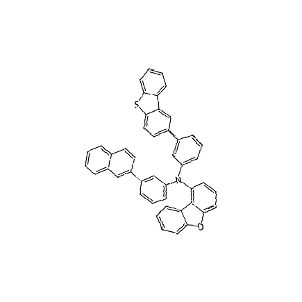 c1cc(-c2ccc3ccccc3c2)cc(N(c2cccc(-c3ccc4sc5ccccc5c4c3)c2)c2cccc3oc4ccccc4c23)c1